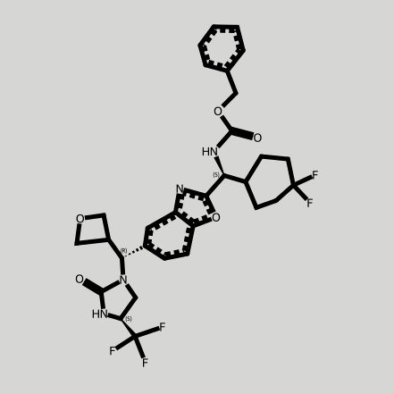 O=C(N[C@H](c1nc2cc([C@@H](C3COC3)N3C[C@@H](C(F)(F)F)NC3=O)ccc2o1)C1CCC(F)(F)CC1)OCc1ccccc1